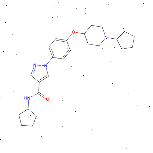 O=C(NC1CCCC1)c1cnn(-c2ccc(OC3CCN(C4CCCC4)CC3)cc2)c1